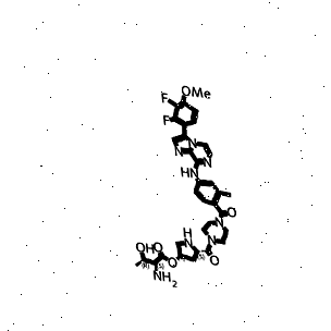 COc1ccc(-c2cnc3c(Nc4ccc(C(=O)N5CCN(C(=O)[C@@H]6C[C@@H](OC(=O)[C@@H](N)[C@@H](C)O)CN6)CC5)c(C)c4)nccn23)c(F)c1F